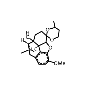 COc1ccc2c3c1OC1C4(CCC5(O)[C@@H](C2)N(C)CC[C@]315)OCCC(C)O4